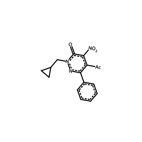 CC(=O)c1c(-c2ccccc2)nn(CC2CC2)c(=O)c1[N+](=O)[O-]